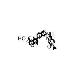 Cc1c(N2CCc3cnc(Nc4cc5n(n4)CC(=O)N(C4CC4)CC5)cc3C2)cnc2c1N(C(=O)O)CCO2